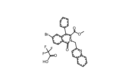 COC(=O)c1c(-c2ccccc2)c2cc(Br)ccc2c(=O)n1Cc1ccc2ccccc2n1.O=C(O)C(F)(F)F